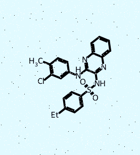 CCc1ccc(S(=O)(=O)Nc2nc3ccccc3nc2Nc2ccc(C)c(Cl)c2)cc1